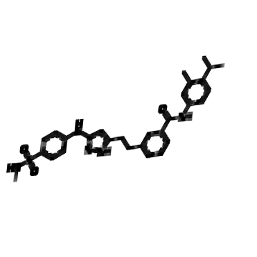 CNS(=O)(=O)c1ccc(Nc2cc(CCc3cccc(C(=O)Nc4ccc(C(C)C)c(C)c4)c3)[nH]n2)cc1